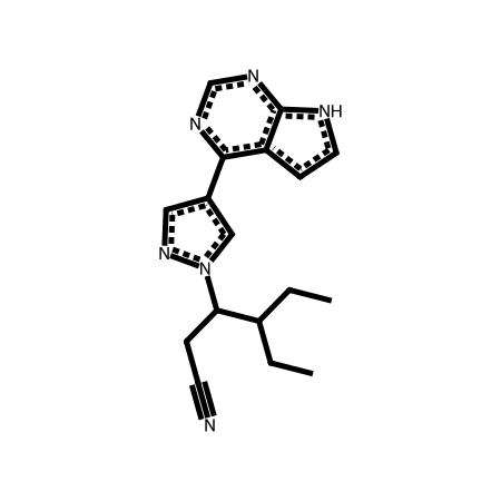 CCC(CC)C(CC#N)n1cc(-c2ncnc3[nH]ccc23)cn1